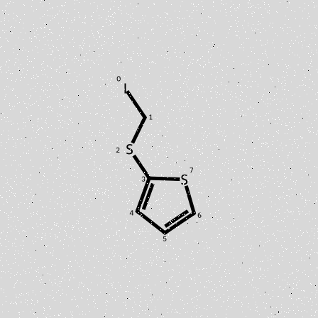 ICSc1cccs1